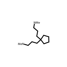 CNCCCC1(CCCNC)CCCC1